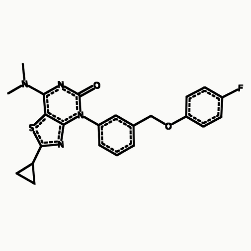 CN(C)c1nc(=O)n(-c2cccc(COc3ccc(F)cc3)c2)c2nc(C3CC3)sc12